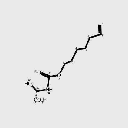 C=CCCCCCOC(=O)N[C@@H](O)C(=O)O